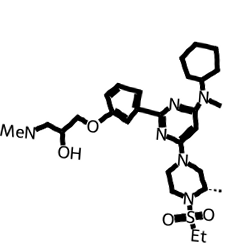 CCS(=O)(=O)N1CCN(c2cc(N(C)C3CCCCC3)nc(-c3cccc(OCC(O)CNC)c3)n2)C[C@@H]1C